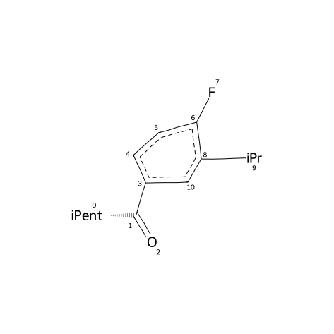 CCC[C@@H](C)C(=O)c1ccc(F)c(C(C)C)c1